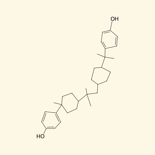 CC1(c2ccc(O)cc2)CCC(C(C)(C)CC2CCC(C(C)(C)c3ccc(O)cc3)CC2)CC1